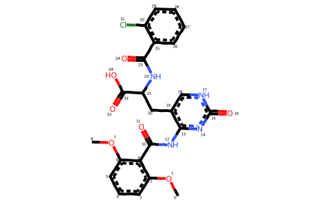 COc1cccc(OC)c1C(=O)Nc1nc(=O)[nH]cc1CC(NC(=O)c1ccccc1Cl)C(=O)O